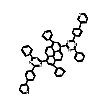 c1ccc(-c2nc(-c3ccc(-c4cccnc4)cc3)nc(-c3cc(-c4ccccc4)c4ccc5c(-c6nc(-c7ccccc7)nc(-c7ccc(-c8cccnc8)cc7)n6)cc(-c6ccccc6)c6ccc3c4c65)n2)cc1